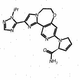 CC(C)n1ncnc1-c1cn2c(n1)-c1cnc(N3CC=C[C@H]3C(N)=O)cc1OCC2